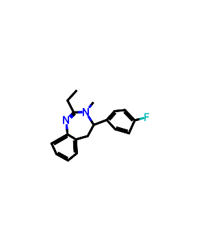 CCC1=Nc2ccccc2CC(c2ccc(F)cc2)N1C